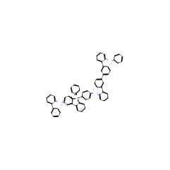 c1ccc(-n2c3ccccc3c3cc(-c4ccc5c(c4)c4ccccc4n5-c4ccc([Si]5(c6ccccc6)c6ccccc6-c6cc(-n7c8ccccc8c8ccccc87)ccc65)cc4)ccc32)cc1